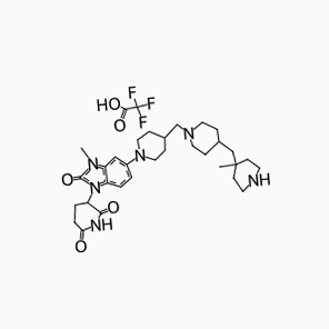 Cn1c(=O)n(C2CCC(=O)NC2=O)c2ccc(N3CCC(CN4CCC(CC5(C)CCNCC5)CC4)CC3)cc21.O=C(O)C(F)(F)F